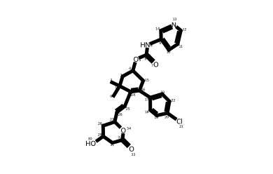 CC1(C)CC(OC(=O)Nc2cccnc2)CC(c2ccc(Cl)cc2)=C1C=CC1CC(O)CC(=O)O1